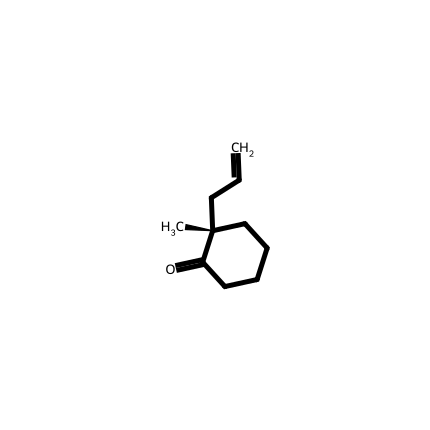 C=CC[C@]1(C)CCCCC1=O